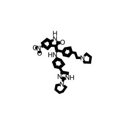 O=C1Nc2ccc([N+](=O)[O-])cc2C1=C(Nc1ccc(-c2c[nH]c(N3CCCCC3)n2)cc1)c1ccc(CCN2CCCC2)cc1